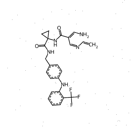 C=C/N=C\C(=C/N)C(=O)NC1(C(=O)NCc2ccc(Nc3ccccc3C(F)(F)F)cc2)CC1